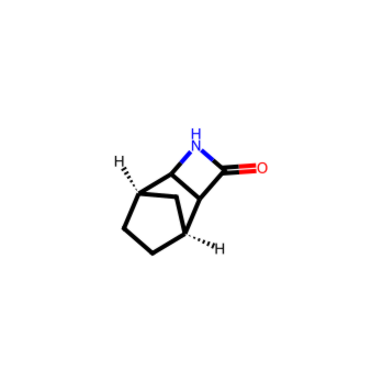 O=C1NC2C1[C@H]1CC[C@@H]2C1